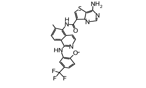 COc1ccc(C(F)(F)F)cc1Nc1nccc2c(NC(=O)c3csc4c(N)ncnc34)c(C)ccc12